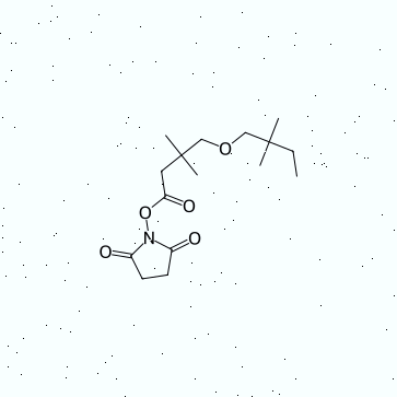 CCC(C)(C)COCC(C)(C)CC(=O)ON1C(=O)CCC1=O